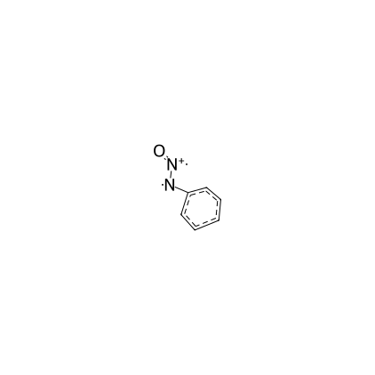 O=[N+][N]c1ccccc1